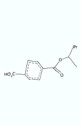 CC(C)C(C)OC(=O)c1ccc(C(=O)O)cc1